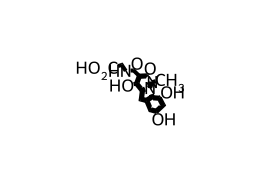 Cn1c(=O)c(C(=O)NCC(=O)O)c(O)c2cc3cc(O)cc(O)c3n21